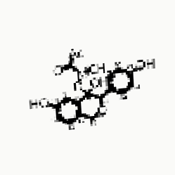 CC(=O)C(=O)N(C)OC1(O)c2cc(O)ccc2COC1c1ccc(O)cc1